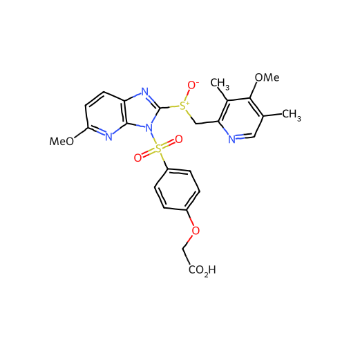 COc1ccc2nc([S+]([O-])Cc3ncc(C)c(OC)c3C)n(S(=O)(=O)c3ccc(OCC(=O)O)cc3)c2n1